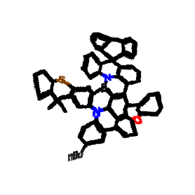 CCCCc1ccc(N2c3cc4c(cc3B3c5c2cc2oc6ccccc6c2c5-c2cccc5c2N3c2ccccc2C52c3ccccc3-c3ccccc32)Sc2ccccc2C4(C)C)c(-c2ccccc2)c1